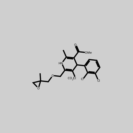 CCOC(=O)C1=C(COCC2(C)CO2)NC(C)=C(C(=O)OC)C1c1cccc(Cl)c1Cl